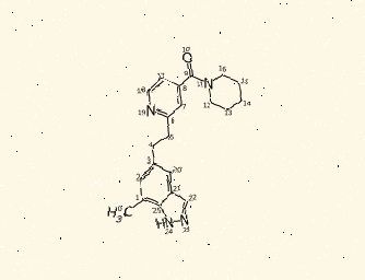 Cc1cc(C[CH]c2cc(C(=O)N3CCCCC3)ccn2)cc2cn[nH]c12